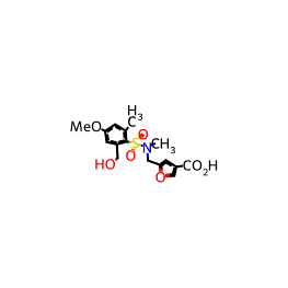 COc1cc(C)c(S(=O)(=O)N(C)Cc2cc(C(=O)O)co2)c(CO)c1